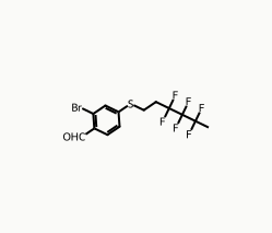 CC(F)(F)C(F)(F)C(F)(F)CCSc1ccc(C=O)c(Br)c1